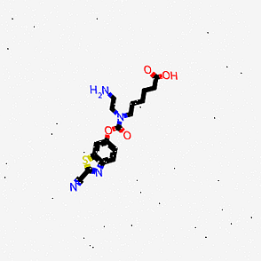 N#Cc1nc2ccc(OC(=O)N(CCN)CCCCCC(=O)O)cc2s1